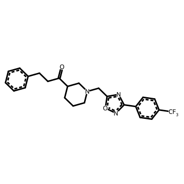 O=C(CCc1ccccc1)C1CCCN(Cc2nc(-c3ccc(C(F)(F)F)cc3)no2)C1